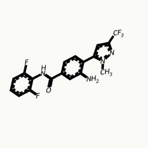 Cn1nc(C(F)(F)F)cc1-c1ccc(C(=O)Nc2c(F)cccc2F)cc1N